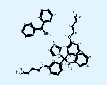 BC(c1ccccc1)c1ccccc1.CCCCOc1cccc(C([SiH2]c2ccccc2)(c2cccc(OCCCC)c2)n2ccnc2)c1